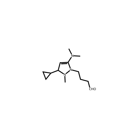 CN(C)C1=CC(C2CC2)N(C)N1CCCC=O